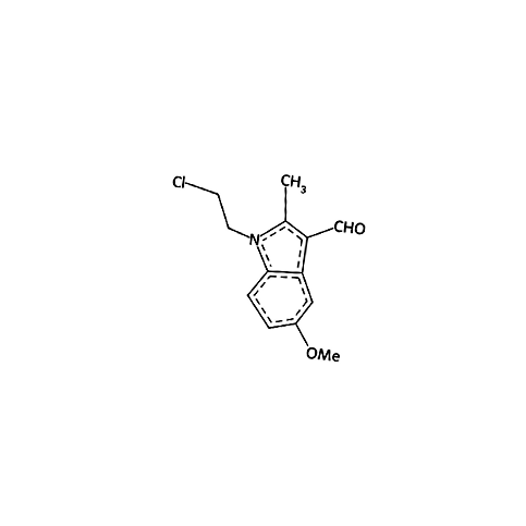 COc1ccc2c(c1)c(C=O)c(C)n2CCCl